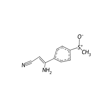 C[S+]([O-])c1ccc(C(N)=CC#N)cc1